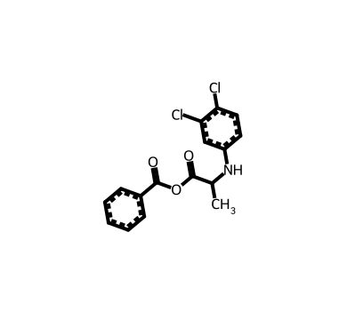 CC(Nc1ccc(Cl)c(Cl)c1)C(=O)OC(=O)c1ccccc1